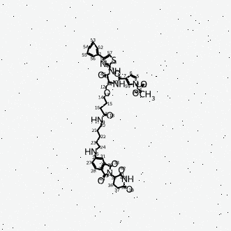 CS(=O)(=O)n1ccc(C(=O)N[C@@H](COCCCC(=O)NCCCCCNc2ccc3c(c2)C(=O)N(C2CCC(=O)NC2=O)C3=O)C(=O)Nc2nc(-c3ccccc3)cs2)c1